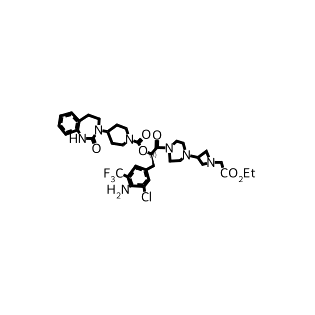 CCOC(=O)CN1CC(N2CCN(C(=O)[C@@H](Cc3cc(Cl)c(N)c(C(F)(F)F)c3)OC(=O)N3CCC(N4CCc5ccccc5NC4=O)CC3)CC2)C1